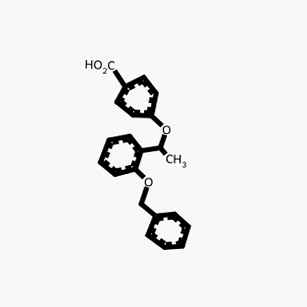 CC(Oc1ccc(C(=O)O)cc1)c1ccccc1OCc1ccccc1